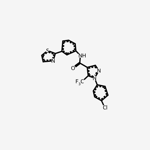 O=C(Nc1cccc(-c2nccs2)c1)c1cnn(-c2ccc(Cl)cc2)c1C(F)(F)F